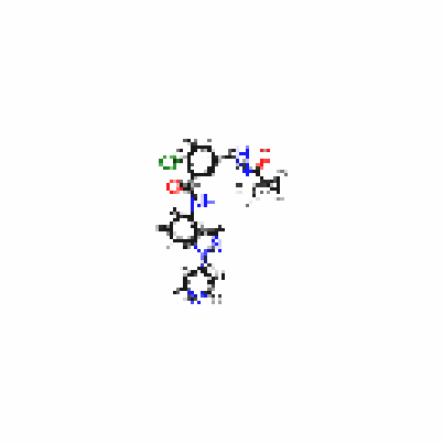 Cc1cc(-n2ncc3c(NC(=O)c4cc(CNC(=O)C5(C(F)(F)F)CC5)ccc4Cl)cccc32)ccn1